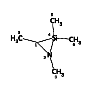 CC1N(C)[Si]1(C)C